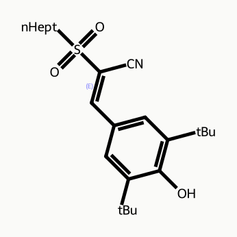 CCCCCCCS(=O)(=O)/C(C#N)=C/c1cc(C(C)(C)C)c(O)c(C(C)(C)C)c1